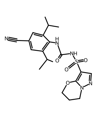 CC(C)c1cc(C#N)cc(C(C)C)c1NC(=O)NS(=O)(=O)c1cnn2c1OCCC2